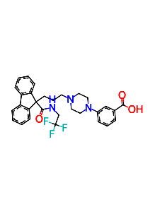 O=C(O)c1cccc(N2CCN(CCCC3(C(=O)NCC(F)(F)F)c4ccccc4-c4ccccc43)CC2)c1